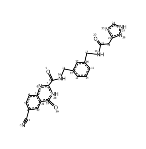 N#Cc1ccc2nc(C(=O)NCc3cccc(CNC(=O)Cc4nc[nH]n4)c3)[nH]c(=O)c2c1